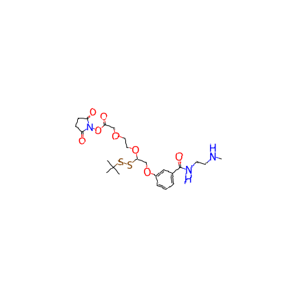 CNCCNC(=O)c1cccc(OCC(OCCOCC(=O)ON2C(=O)CCC2=O)SSC(C)(C)C)c1